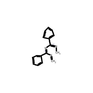 C=N/C(=N\C(=N/C)c1ccccc1)c1ccccc1